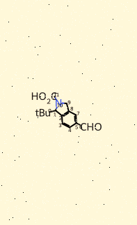 CC(C)(C)C1c2ccc(C=O)cc2CN1C(=O)O